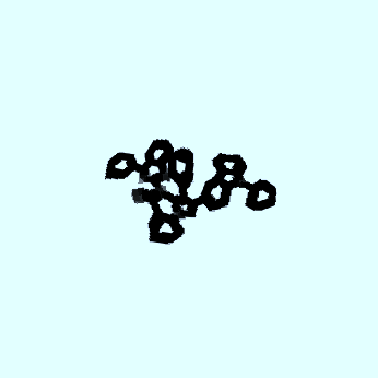 O=c1c2ccccc2n2cc(-c3ccc4c(c3)c3ccccc3n4-c3ccccc3)c(-c3ccccc3)c2n1-c1nc(-c2ccccc2)c2ccccc2n1